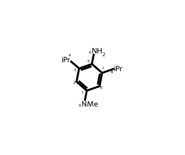 CNc1cc(C(C)C)c(N)c(C(C)C)c1